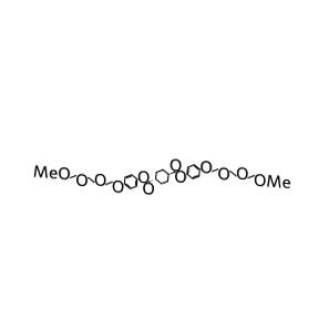 COCCOCCOCCOc1ccc(OC(=O)[C@H]2CC[C@H](C(=O)Oc3ccc(OCCOCCOCCOC)cc3)CC2)cc1